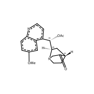 COc1ccc2nccc([C@H](OC(C)=O)[C@H]3C[C@@H]4CCN3CC4=O)c2c1